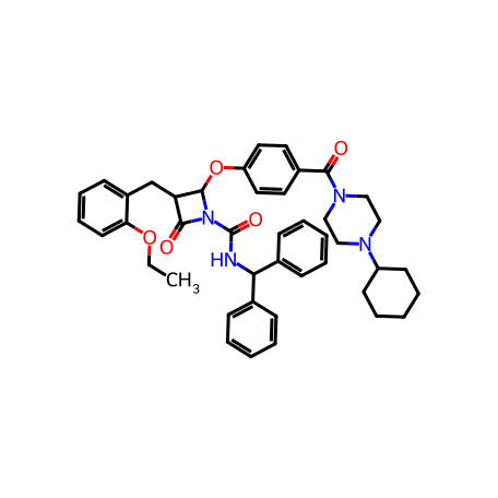 CCOc1ccccc1CC1C(=O)N(C(=O)NC(c2ccccc2)c2ccccc2)C1Oc1ccc(C(=O)N2CCN(C3CCCCC3)CC2)cc1